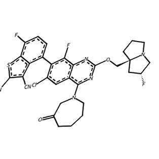 N#Cc1c(N)sc2c(F)ccc(-c3c(Cl)cc4c(N5CCCCC(=O)C5)nc(OC[C@@]56CCCN5C[C@H](F)C6)nc4c3F)c12